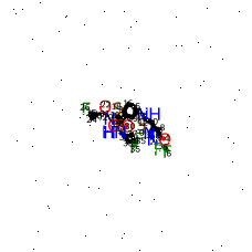 Cn1nc(OC(F)F)cc1CC(=S)N[C@H]1CCc2sc(NC(=O)[C@H]3C[C@@H]3F)c(S(=O)(=O)NC3CC(F)(F)C3)c2C1